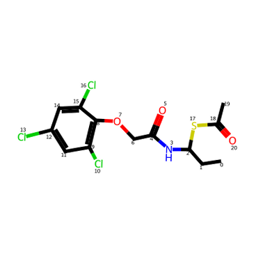 CCC(NC(=O)COc1c(Cl)cc(Cl)cc1Cl)SC(C)=O